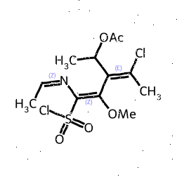 C\C=N/C(=C(OC)\C(=C(/C)Cl)C(C)OC(C)=O)S(=O)(=O)Cl